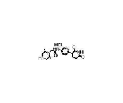 C[C@@H]1CNC[C@H](C)N1CC(=O)Nc1ccc(C2CCC(=O)NC2=O)nc1.Cl